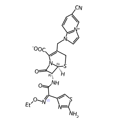 CCO/N=C(\C(=O)N[C@@H]1C(=O)N2C(C(=O)[O-])=C(Cn3cc[n+]4cc(C#N)ccc34)CS[C@@H]12)c1csc(N)n1